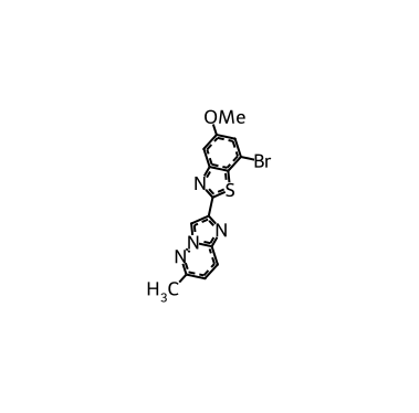 COc1cc(Br)c2sc(-c3cn4nc(C)ccc4n3)nc2c1